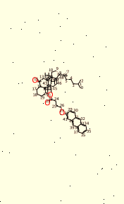 CC(C)CCC[C@@H](C)[C@H]1CC[C@H]2[C@@H]3CC(=O)C4CCCC(OC(=O)CCCOc5ccc6cc7ccccc7cc6c5)[C@]4(C)[C@H]3CC[C@]12C